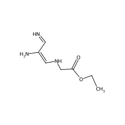 CCOC(=O)CN/C=C(/N)C=N